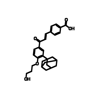 O=C(O)c1ccc(C=CC(=O)c2ccc(OCCCO)c(C34CC5CC(CC(C5)C3)C4)c2)cc1